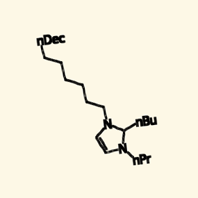 CCCCCCCCCCCCCCCCN1C=CN(CCC)C1CCCC